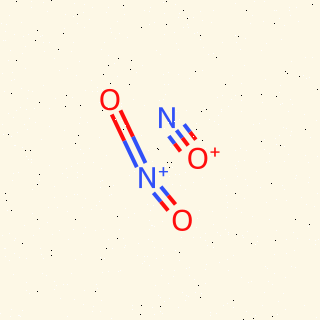 N#[O+].O=[N+]=O